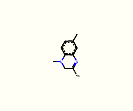 CC(=O)C1=Nc2cc(C)ccc2N(C)C1